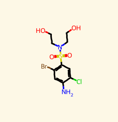 Nc1cc(Br)c(S(=O)(=O)N(CCO)CCO)cc1Cl